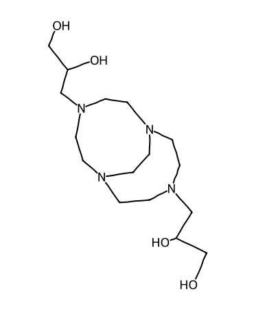 OCC(O)CN1CCN2CCN(CC1)CCN(CC(O)CO)CC2